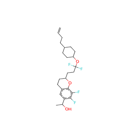 C=CCCC1CCC(OC(F)(F)CCC2CCc3cc(C(C)O)c(F)c(F)c3O2)CC1